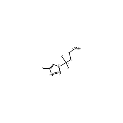 CSCCC(C)(C)n1cc(C)nn1